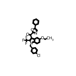 CCOc1ccc2c(c1)c(C(=O)c1ncc(-c3ccccc3)o1)c(C(F)(F)F)n2Cc1ccc(Cl)cc1